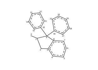 CC1Cc2ccccc2C1(c1ccccc1)c1ccccc1